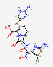 Nc1ncc(SC2=C(C(=O)O)N3C(=O)C(NC(=O)/C(=N\O)c4nc(N)sc4Cl)C3CC2)cn1